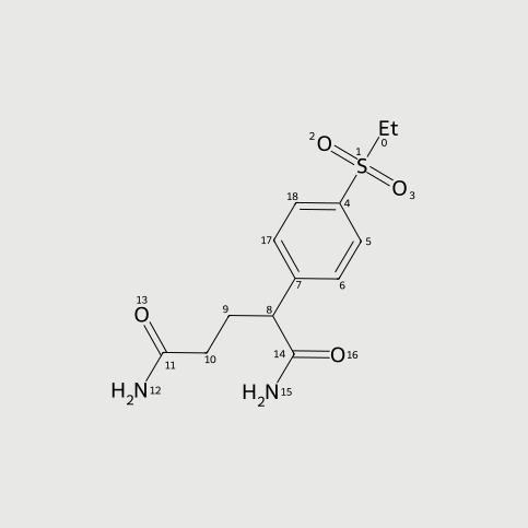 CCS(=O)(=O)c1ccc(C(CCC(N)=O)C(N)=O)cc1